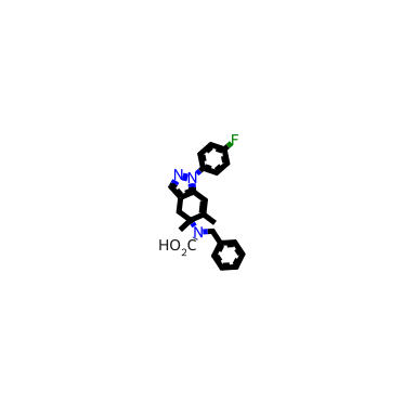 CC1=Cc2c(cnn2-c2ccc(F)cc2)CC1(C)N(Cc1ccccc1)C(=O)O